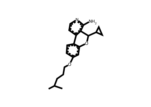 CC(C)CCCOc1ccc2c(c1)OC(C1CC1)c1c-2ccnc1N